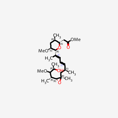 COC(=O)C[C@@H]1O[C@H](/C(C)=C/C=C/[C@@H](C)C[C@@]2(C)O[C@@H]2[C@H](C)C(OC)[C@@H](C)O)[C@@H](OC)C[C@H]1C